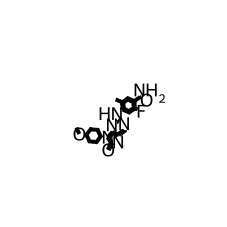 CO[C@H]1CC[C@H](n2c(=O)n(C)c3cnc(Nc4cc(F)c(C(N)=O)cc4C)nc32)CC1